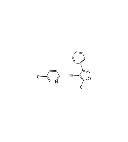 Cc1onc(-c2ccccc2)c1C#Cc1ccc(Cl)cn1